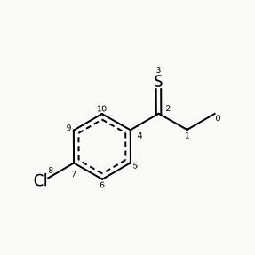 CCC(=S)c1ccc(Cl)cc1